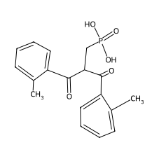 Cc1ccccc1C(=O)C(CP(=O)(O)O)C(=O)c1ccccc1C